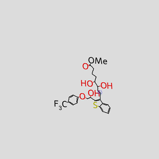 COC(=O)CCCC(O)C(O)/C=C/c1c(C(O)COc2ccc(C(F)(F)F)cc2)sc2ccccc12